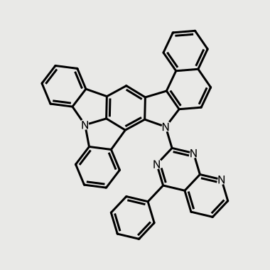 c1ccc(-c2nc(-n3c4ccc5ccccc5c4c4cc5c6ccccc6n6c7ccccc7c(c43)c56)nc3ncccc23)cc1